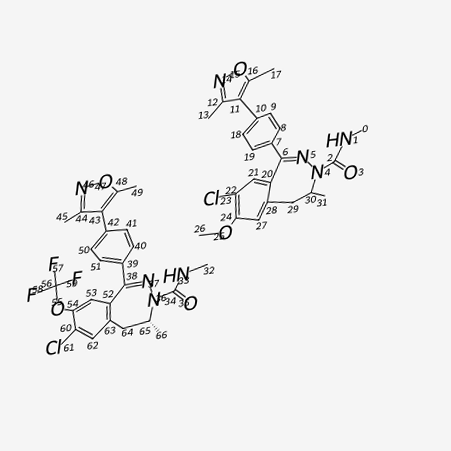 CNC(=O)N1N=C(c2ccc(-c3c(C)noc3C)cc2)c2cc(Cl)c(OC)cc2CC1C.CNC(=O)N1N=C(c2ccc(-c3c(C)noc3C)cc2)c2cc(OC(F)(F)F)c(Cl)cc2C[C@H]1C